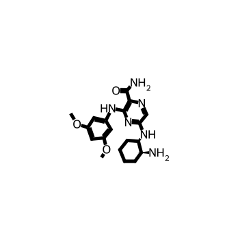 COc1cc(Nc2nc(N[C@@H]3CCCC[C@@H]3N)cnc2C(N)=O)cc(OC)c1